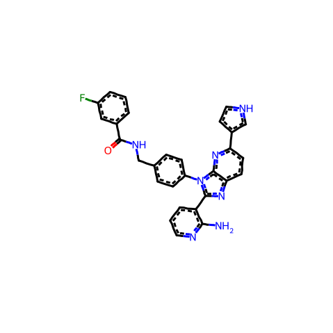 Nc1ncccc1-c1nc2ccc(-c3cc[nH]c3)nc2n1-c1ccc(CNC(=O)c2cccc(F)c2)cc1